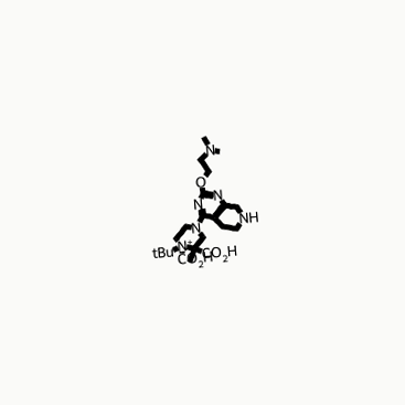 CN(C)CCOc1nc2c(c(N3CC[N+](C(=O)O)(C(C)(C)C)C(C)(C(=O)O)C3)n1)CCNC2